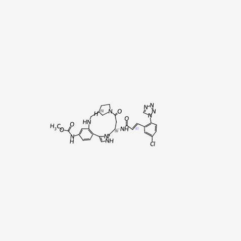 COC(=O)Nc1ccc2c(c1)NC[C@@H]1CCN(C1)C(=O)C[C@H](NC(=O)/C=C/c1cc(Cl)ccc1-n1cnnn1)c1nc-2c[nH]1